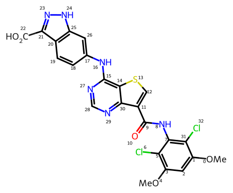 COc1cc(OC)c(Cl)c(NC(=O)c2csc3c(Nc4ccc5c(C(=O)O)n[nH]c5c4)ncnc23)c1Cl